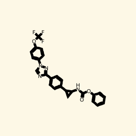 O=C(NC1CC1c1ccc(-c2ncn(-c3ccc(OC(F)(F)F)cc3)n2)cc1)Oc1ccccc1